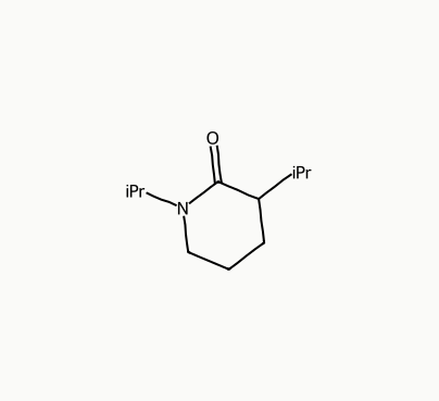 CC(C)C1CCCN(C(C)C)C1=O